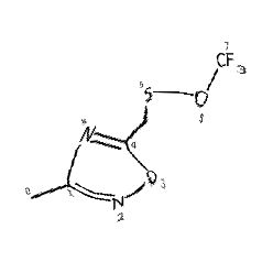 Cc1noc(SOC(F)(F)F)n1